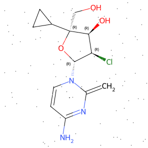 C=C1N=C(N)C=CN1[C@@H]1O[C@@](CO)(C2CC2)[C@@H](O)[C@H]1Cl